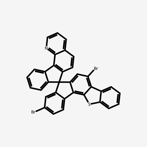 Brc1ccc2c(c1)C1(c3ccccc3-c3c1ccc1cccnc31)c1cc(Br)c3c(sc4ccccc43)c1-2